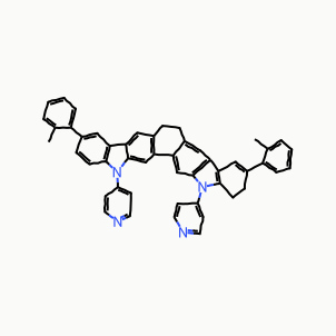 Cc1ccccc1C1=Cc2c(n(-c3ccncc3)c3cc4c(cc23)CCc2cc3c5cc(-c6ccccc6C)ccc5n(-c5ccncc5)c3cc2-4)CC1